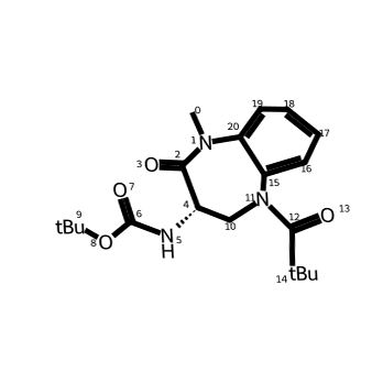 CN1C(=O)[C@@H](NC(=O)OC(C)(C)C)CN(C(=O)C(C)(C)C)c2ccccc21